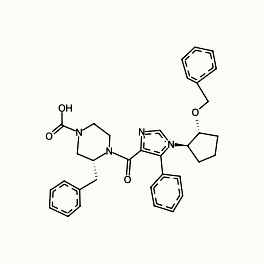 O=C(O)N1CCN(C(=O)c2ncn([C@@H]3CCC[C@H]3OCc3ccccc3)c2-c2ccccc2)[C@H](Cc2ccccc2)C1